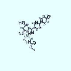 C=CC(=O)N1CCC[C@@H](n2nc(-c3cnc(-n4ccc(=O)cc4)nc3)c3cc(O)cc(C#N)c32)C1